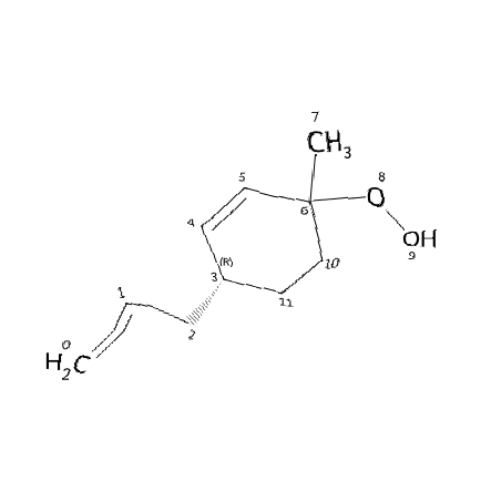 C=CC[C@@H]1C=CC(C)(OO)CC1